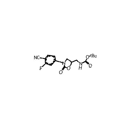 CC(C)(C)OC(=O)NCC1CN(c2ccc(C#N)c(F)c2)C(=O)O1